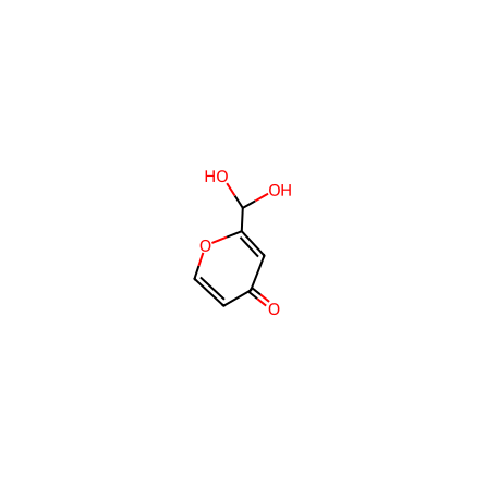 O=c1ccoc(C(O)O)c1